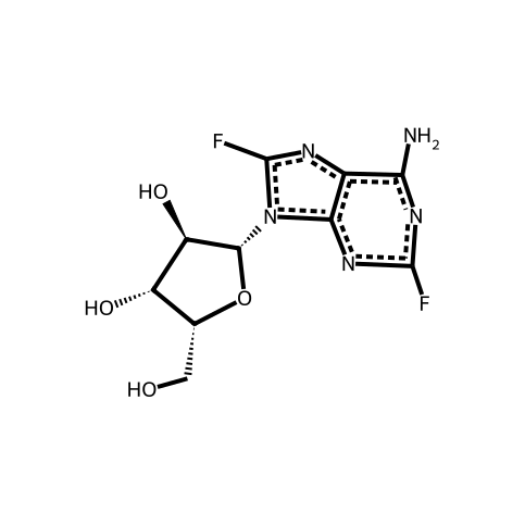 Nc1nc(F)nc2c1nc(F)n2[C@@H]1O[C@H](CO)[C@H](O)[C@H]1O